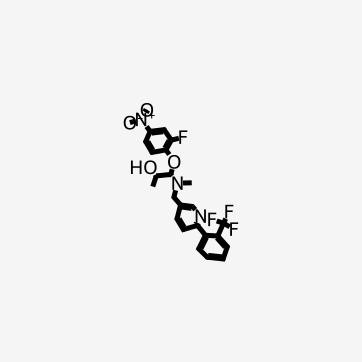 CC(O)C(Oc1ccc([N+](=O)[O-])cc1F)N(C)Cc1ccc(-c2ccccc2C(F)(F)F)nc1